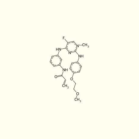 C=CC(=O)Nc1cccc(Nc2nc(Nc3ccc(OCCOC)cc3)[n+](C)cc2F)c1